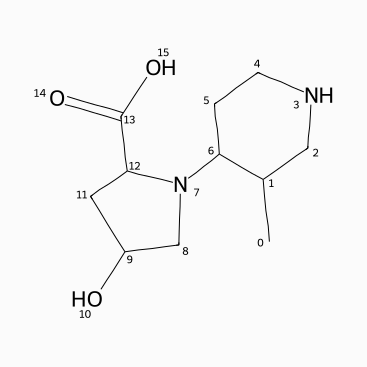 CC1CNCCC1N1CC(O)CC1C(=O)O